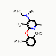 CCCN(COC)c1cc(C)nc(Oc2c(C=O)cccc2OC)c1[N+](=O)[O-]